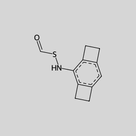 O=CSNc1c2c(cc3c1CC3)CC2